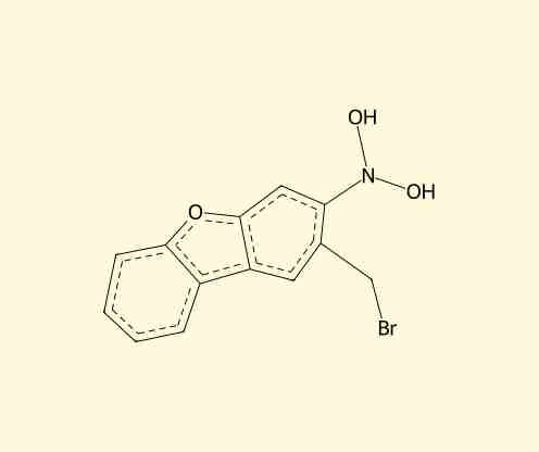 ON(O)c1cc2oc3ccccc3c2cc1CBr